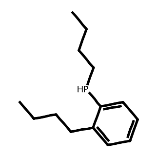 CCCCPc1ccccc1CCCC